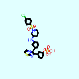 O=P(O)(O)Oc1cccc(-c2nc3sccn3c2-c2cccc(NC3CCCN(S(=O)(=O)c4ccc(Cl)cc4)C3)c2)c1